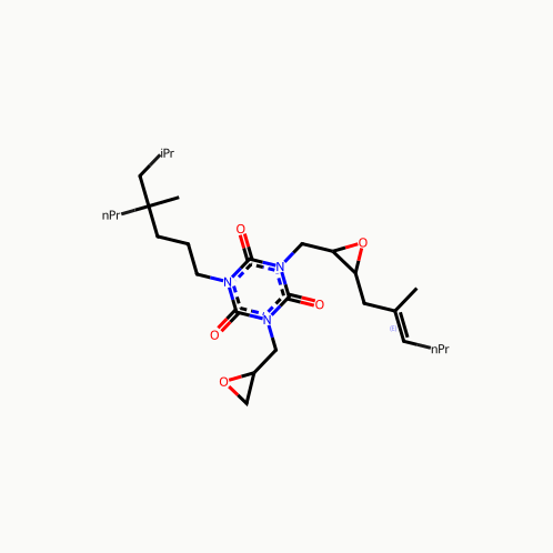 CCC/C=C(\C)CC1OC1Cn1c(=O)n(CCCC(C)(CCC)CC(C)C)c(=O)n(CC2CO2)c1=O